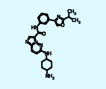 CC(C)c1nc(-c2cccc(NC(=O)c3cnc4ccc(NC5CCC(N)CC5)nn34)c2)co1